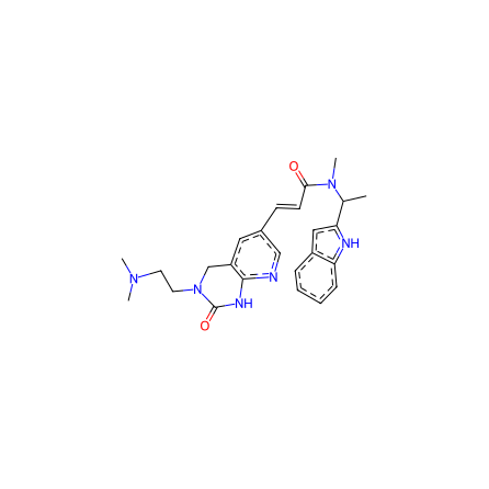 CC(c1cc2ccccc2[nH]1)N(C)C(=O)C=Cc1cnc2c(c1)CN(CCN(C)C)C(=O)N2